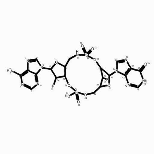 Nc1ncnc2c1ncn2C1OC2CNS(=O)(=O)OC3C(F)C(COP(=O)(O)OC2C1F)OC3n1cnc2c(=O)[nH]cnc21